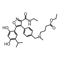 CCNC(=O)c1noc(-c2cc(C(C)C)c(O)cc2O)c1-c1ccc(CN(C)CCCC(=O)OCC)cc1